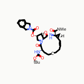 CNC(=O)[C@@]12C[C@H]1/C=C\CCCCC[C@H](NC(=O)OC(C)(C)C)C(=O)N1C[C@H](OC(=O)N3Cc4ccccc4C3)C[C@H]1C(=O)N2